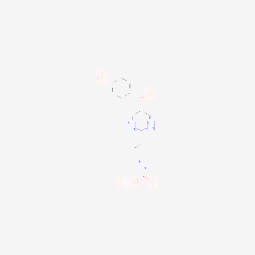 COc1ccc(C(=O)c2cnc(C3=CCN(C(=O)O)CC3)nc2)cc1